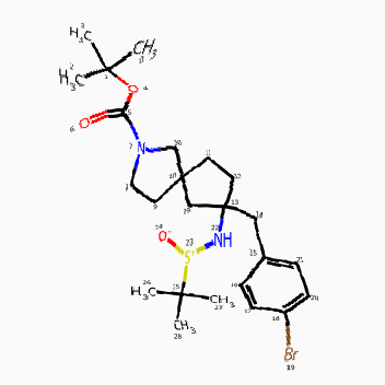 CC(C)(C)OC(=O)N1CCC2(CCC(Cc3ccc(Br)cc3)(N[S+]([O-])C(C)(C)C)C2)C1